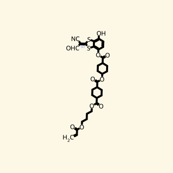 C=CC(=O)OCCCCOC(=O)C1CCC(C(=O)OC2CCC(C(=O)Oc3ccc(O)c4c3S/C(=C(/C#N)C=O)S4)CC2)CC1